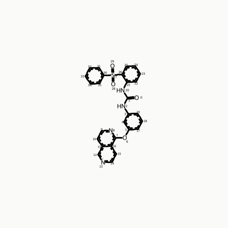 O=C(Nc1[c]c(Oc2nccc3cnccc23)ccc1)Nc1ccccc1S(=O)(=O)c1ccccc1